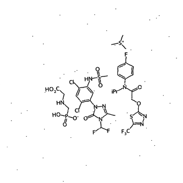 CC(C)N(C(=O)COc1nnc(C(F)(F)F)s1)c1ccc(F)cc1.C[S+](C)C.Cc1nn(-c2cc(NS(C)(=O)=O)c(Cl)cc2Cl)c(=O)n1C(F)F.O=C(O)CNCP(=O)([O-])O